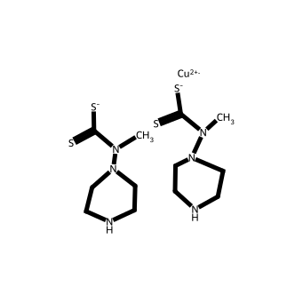 CN(C(=S)[S-])N1CCNCC1.CN(C(=S)[S-])N1CCNCC1.[Cu+2]